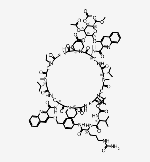 CCN1CC(=O)N(C)[C@@H](C(C)C)C(=O)NC[C@@H](NC(=O)c2nc3ccccc3cc2O[C@@H]2O[C@H](C(=O)OC)[C@@H](OC(C)=O)[C@H](OC(C)=O)[C@H]2OC(C)=O)C(=O)N2CCCC[C@H]2C(=O)NCC(=O)N(CC)CC(=O)N(C)[C@@H](C(C)C)C(=O)NC[C@@H](NC(=O)c2nc3ccccc3cc2OCc2ccc(NC(=O)[C@H](CCCNC(N)=O)NC(=O)[C@@H](NC(=O)OC(C)(C)C)C(C)C)cc2)C(=O)N2CCCC[C@H]2C(=O)NCC1=O